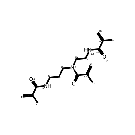 C=C(C)C(=O)NCCCN(CCNC(=O)C(=C)C)C(=O)C(=C)C